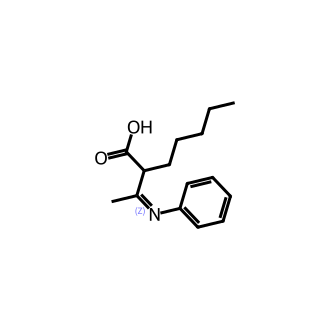 CCCCCC(C(=O)O)/C(C)=N\c1ccccc1